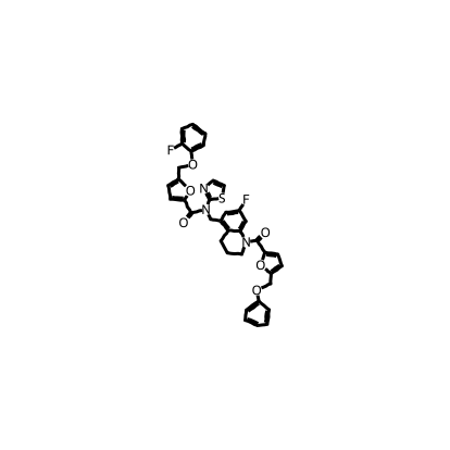 O=C(c1ccc(COc2ccccc2F)o1)N(Cc1cc(F)cc2c1CCCN2C(=O)c1ccc(COc2ccccc2)o1)c1nccs1